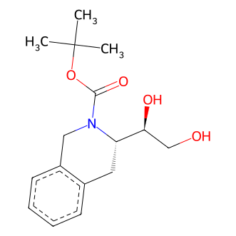 CC(C)(C)OC(=O)N1Cc2ccccc2C[C@H]1[C@@H](O)CO